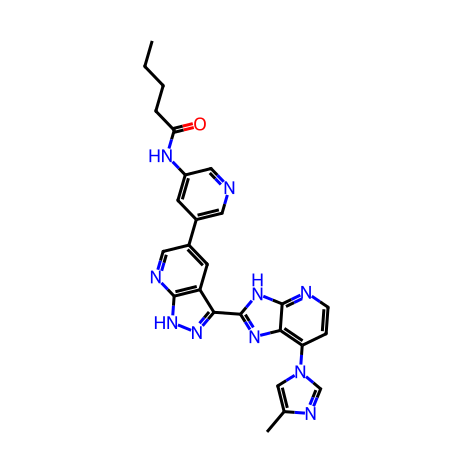 CCCCC(=O)Nc1cncc(-c2cnc3[nH]nc(-c4nc5c(-n6cnc(C)c6)ccnc5[nH]4)c3c2)c1